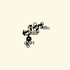 CC(C)(C)OC(=O)CN(CC(=O)OC(C)(C)C)C(=O)Cn1ccnc1CN(CCc1ccc(N[SH](=O)=O)cc1)Cc1nccs1